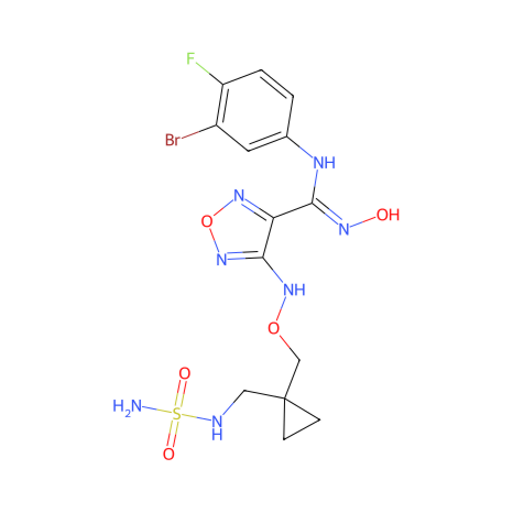 NS(=O)(=O)NCC1(CONc2nonc2/C(=N/O)Nc2ccc(F)c(Br)c2)CC1